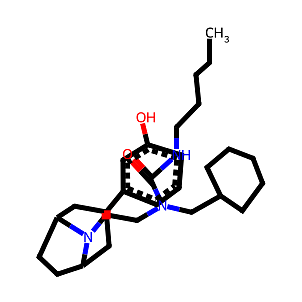 CCCCCNC(=O)N(CCN1C2CCC1CC(c1cccc(O)c1)C2)CC1CCCCC1